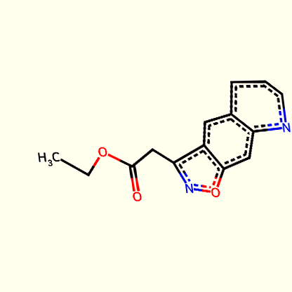 CCOC(=O)Cc1noc2cc3ncccc3cc12